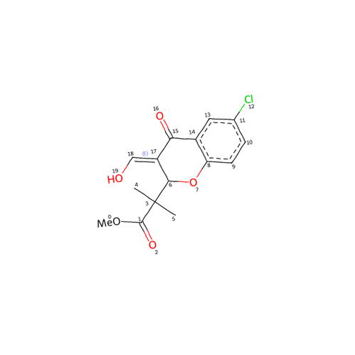 COC(=O)C(C)(C)C1Oc2ccc(Cl)cc2C(=O)/C1=C/O